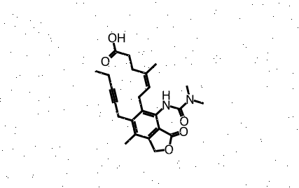 CCC#CCc1c(C)c2c(c(NC(=O)N(C)C)c1CC=C(C)CCC(=O)O)C(=O)OC2